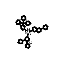 c1ccc(-c2ccc3cc(-c4nc(-c5ccc6c(c5)C(c5ccccc5)(c5ccccc5)c5ccccc5-6)nc(-c5cc(-c6ccccc6)c6c(c5)oc5ccccc56)n4)ccc3c2)cc1